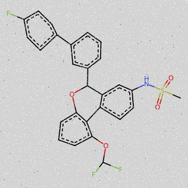 CS(=O)(=O)Nc1ccc2c(c1)C(c1cccc(-c3ccc(F)cc3)c1)Oc1cccc(OC(F)F)c1-2